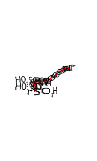 [N-]=[N+]=NCCOCCOCCOCCOCCOCCOCCOCCOCCNC(=O)c1cc(OCCCS(=O)(=O)O)c(OCCCS(=O)(=O)O)c(OCCCS(=O)(=O)O)c1